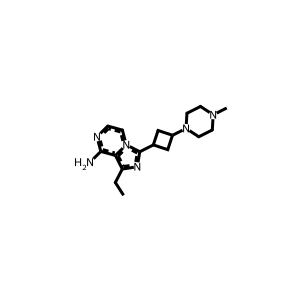 CCc1nc(C2CC(N3CCN(C)CC3)C2)n2ccnc(N)c12